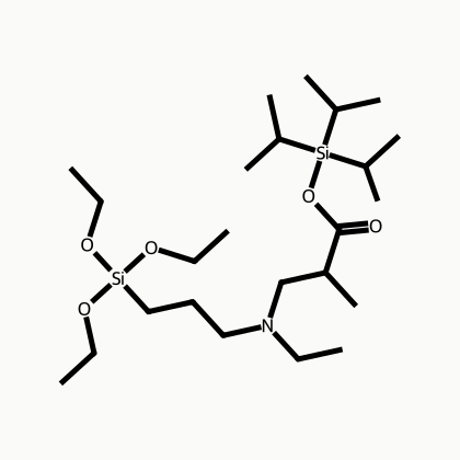 CCO[Si](CCCN(CC)CC(C)C(=O)O[Si](C(C)C)(C(C)C)C(C)C)(OCC)OCC